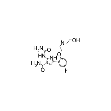 CN(CCO)CCOc1ccc(F)cc1-c1cc(C(N)=O)c(NC(N)=O)[nH]1